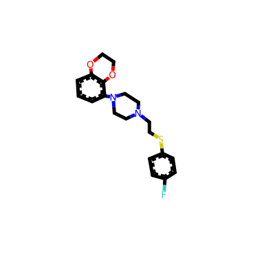 Fc1ccc(SCCN2CCN(c3cccc4c3OCCO4)CC2)cc1